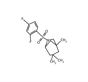 CC1(C)CC2CC(C)(CN2S(=O)(=O)c2ccc(F)cc2F)C1